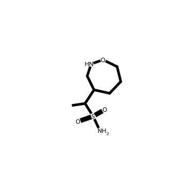 CC(C1CCCONC1)S(N)(=O)=O